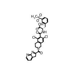 CS(=O)(=O)c1cccc(C[C@H](NC(=O)c2c(Cl)cc3c(c2Cl)CCN(C(=O)C2=Nc4ncccc4C2)C3)C(=O)O)c1